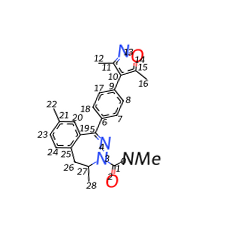 CNC(=O)N1N=C(c2ccc(-c3c(C)noc3C)cc2)c2cc(C)ccc2CC1C